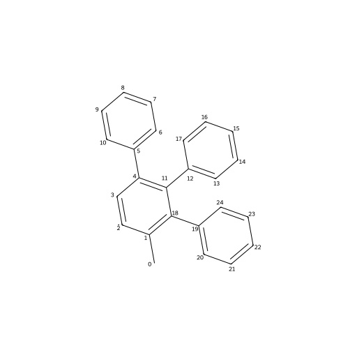 Cc1[c]cc(-c2ccccc2)c(-c2ccccc2)c1-c1ccccc1